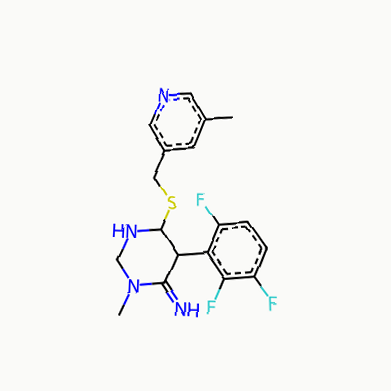 Cc1cncc(CSC2NCN(C)C(=N)C2c2c(F)ccc(F)c2F)c1